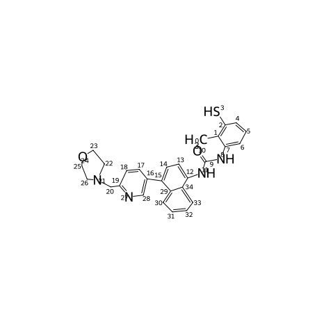 Cc1c(S)cccc1NC(=O)Nc1ccc(-c2ccc(CN3CCOCC3)nc2)c2ccccc12